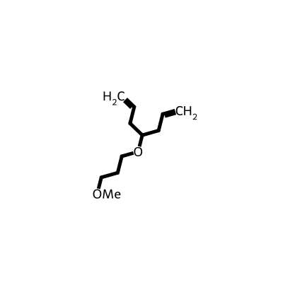 C=CCC(CC=C)OCCCOC